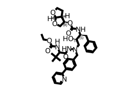 CCOC(=O)NC(C(=O)NN(Cc1ccc(-c2ccccn2)cc1)C[C@H](O)[C@H](Cc1ccccc1)NC(=O)O[C@H]1CO[C@H]2OCC[C@H]21)C(C)(C)C